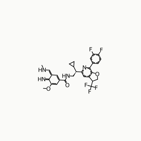 CN/C=C1/C=C(C(=O)NC[C@H](c2cc3c(c(-c4ccc(F)c(F)c4)n2)OCC3C(F)(F)F)C2CC2)C=C(OC)C1=N